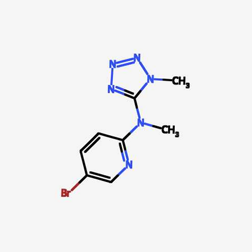 CN(c1ccc(Br)cn1)c1nnnn1C